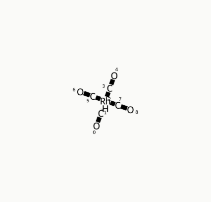 O=[C]=[RhH](=[C]=O)(=[C]=O)=[C]=O